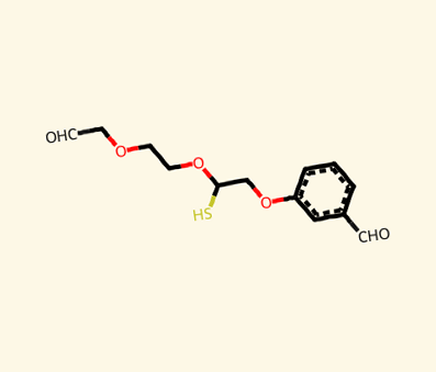 O=CCOCCOC(S)COc1cccc(C=O)c1